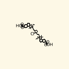 CCN1/C(=C/C=C2\CCC(/C=C/C3=[N+](CC)c4ccc5cc(S(=O)(=O)O)ccc5c4C3(C)C)=C2Cl)C(C)(C)c2c1ccc1cc(S(=O)(=O)O)ccc21